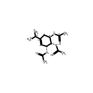 CC(=O)O[C@@H]1[C@H](OC(C)=O)C=C(C(C)C)C[C@H]1OC(C)=O